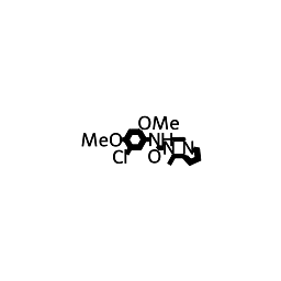 COc1cc(OC)c(NC(=O)N2CCn3cccc3C2C)cc1Cl